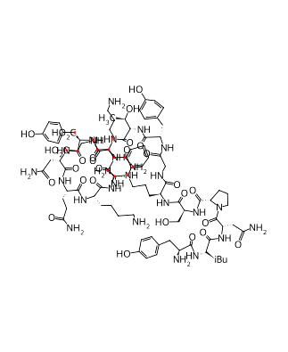 CC[C@H](C)[C@H](NC(=O)[C@@H](N)Cc1ccc(O)cc1)C(=O)N[C@@H](CC(N)=O)C(=O)N1CCC[C@H]1C(=O)N[C@@H](CO)C(=O)N[C@@H](CCCNC(=N)N)C(=O)NCC(=O)N[C@@H](Cc1ccc(O)cc1)C(=O)N[C@H](C(=O)N[C@@H](CC(N)=O)C(=O)N[C@@H](Cc1ccc(O)cc1)C(=O)N[C@@H](CC(N)=O)C(=O)N[C@@H](CCC(N)=O)C(=O)N[C@@H](CCCCN)C(=O)N[C@@H](Cc1ccccc1)C(=O)N[C@@H](CCCCN)C(=O)N[C@@H](CC(=O)O)C(=O)O)[C@@H](C)O